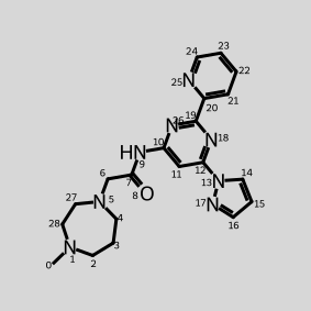 CN1CCCN(CC(=O)Nc2cc(-n3cccn3)nc(-c3ccccn3)n2)CC1